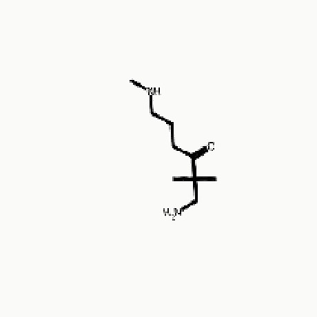 CNCCCC(=O)C(C)(C)CN